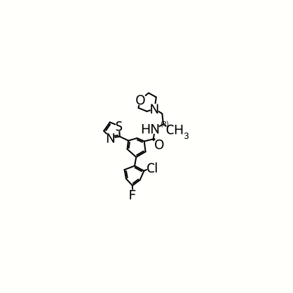 C[C@H](CN1CCOCC1)NC(=O)c1cc(-c2nccs2)cc(-c2ccc(F)cc2Cl)c1